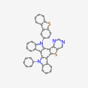 c1ccc(-n2c3ccccc3c3c4sc5cncnc5c4c4c(c5ccccc5n4-c4ccc5sc6ccccc6c5c4)c32)cc1